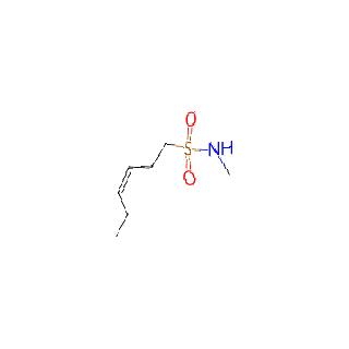 CC/C=C\CCS(=O)(=O)NC